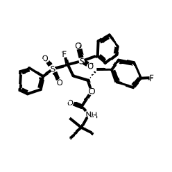 CC(C)(C)NC(=O)O[C@@H](Cc1ccc(F)cc1)CC(F)(S(=O)(=O)c1ccccc1)S(=O)(=O)c1ccccc1